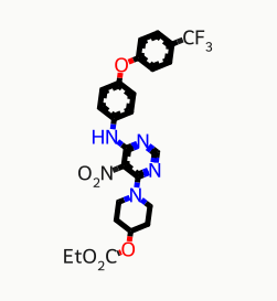 CCOC(=O)OC1CCN(c2ncnc(Nc3ccc(Oc4ccc(C(F)(F)F)cc4)cc3)c2[N+](=O)[O-])CC1